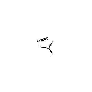 [F][Cr]([F])[F].[O]=[Cr]